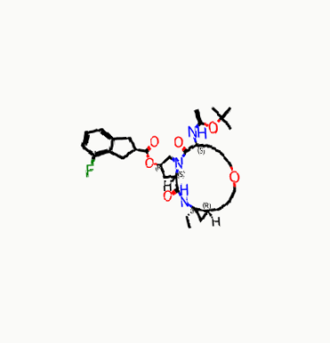 C=C(N[C@H]1CCCOCCC[C@@H]2C[C@@]2(CC)NC(=O)[C@@H]2C[C@@H](OC(=O)C3Cc4cccc(F)c4C3)CN2C1=O)OC(C)(C)C